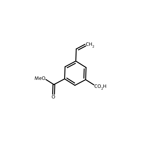 C=Cc1cc(C(=O)O)cc(C(=O)OC)c1